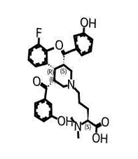 Cc1c(F)cccc1[C@H]1[C@@H](C(=O)c2cccc(O)c2)CN(CCC[C@@H](C(=O)O)N(C)C)C[C@H]1C(=O)c1cccc(O)c1